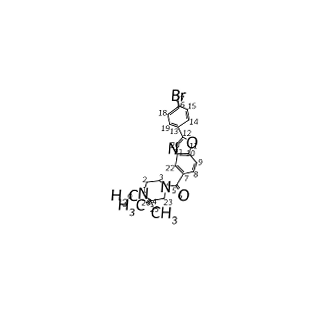 CN1CCN(C(=O)c2ccc3oc(-c4ccc(Br)cc4)nc3c2)CC1(C)C